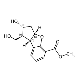 COC(=O)c1cccc2c1O[C@H]1C[C@@H](O)[C@H](CO)[C@@H]21